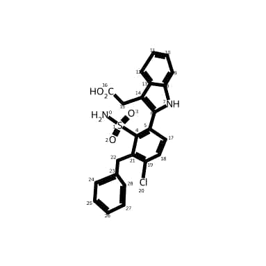 NS(=O)(=O)c1c(-c2[nH]c3ccccc3c2CC(=O)O)ccc(Cl)c1Cc1ccccc1